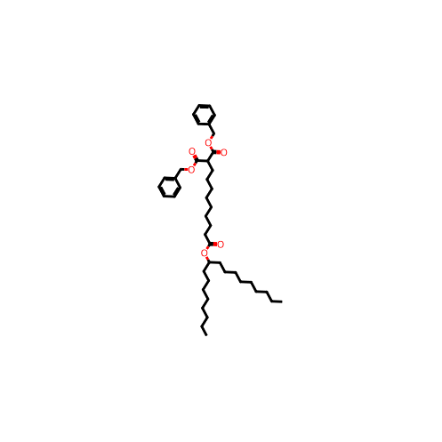 CCCCCCCCCC(CCCCCCCC)OC(=O)CCCCCCCCC(C(=O)OCc1ccccc1)C(=O)OCc1ccccc1